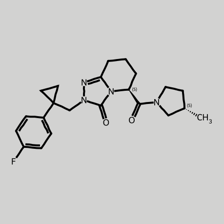 C[C@H]1CCN(C(=O)[C@@H]2CCCc3nn(CC4(c5ccc(F)cc5)CC4)c(=O)n32)C1